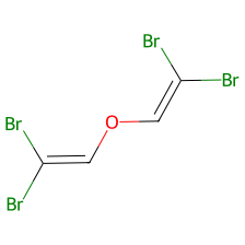 BrC(Br)=COC=C(Br)Br